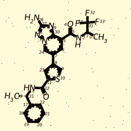 CC(NC(=O)c1cc(-c2csc(C(=O)N[C@@H](C)c3ccccc3)c2)cn2nc(N)nc12)C(F)(F)F